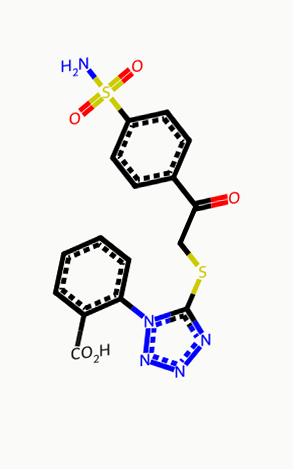 NS(=O)(=O)c1ccc(C(=O)CSc2nnnn2-c2ccccc2C(=O)O)cc1